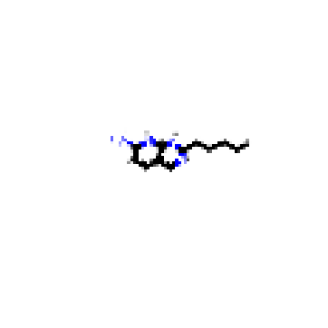 CCCCCc1ncc2ccc(N)nc2n1